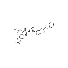 O=C(O)CC(NC(=O)C1CC(=O)N(c2cccc(NC(=O)NCc3ccccc3)c2)C1)c1ccc(OC(F)(F)F)cc1